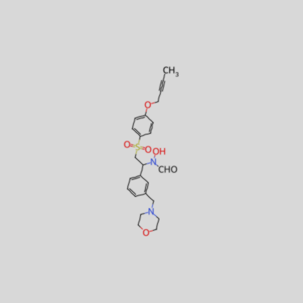 CC#CCOc1ccc(S(=O)(=O)CC(c2cccc(CN3CCOCC3)c2)N(O)C=O)cc1